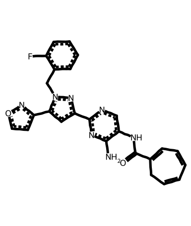 Nc1nc(-c2cc(-c3ccon3)n(Cc3ccccc3F)n2)ncc1NC(=O)C1=CC=CC=CC1